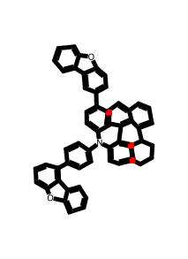 c1ccc(N(c2ccc(-c3ccc4oc5ccccc5c4c3)cc2)c2ccc(-c3cccc4oc5ccccc5c34)cc2)c(-c2cccc3cccc(C4CCCCC4)c23)c1